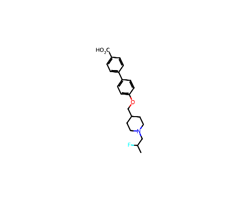 CC(F)CN1CCC(COc2ccc(-c3ccc(C(=O)O)cc3)cc2)CC1